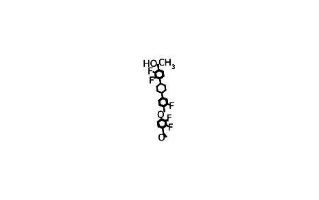 CC(O)c1ccc(C2CCC(c3ccc(COc4ccc(C5CO5)c(F)c4F)c(F)c3)CC2)c(F)c1F